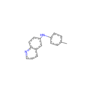 Cc1ccc(Nc2ccc3ncccc3c2)cc1